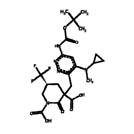 CN(c1cc(NC(=O)OC(C)(C)C)nnc1CC1(C(=O)O)C[C@@H](C(F)(F)F)CN(C(=O)O)C1=O)C1CC1